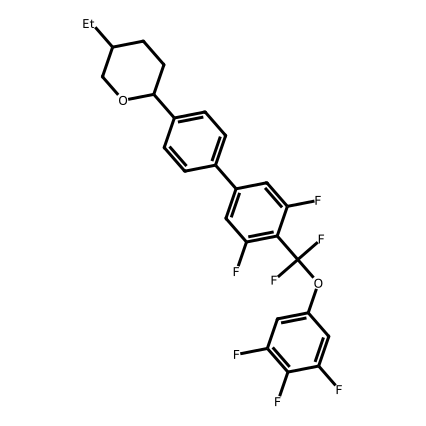 CCC1CCC(c2ccc(-c3cc(F)c(C(F)(F)Oc4cc(F)c(F)c(F)c4)c(F)c3)cc2)OC1